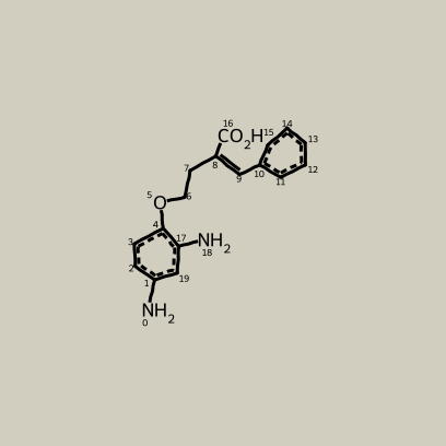 Nc1ccc(OCCC(=Cc2ccccc2)C(=O)O)c(N)c1